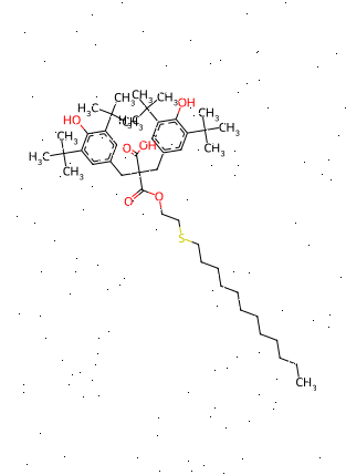 CCCCCCCCCCCCSCCOC(=O)C(Cc1cc(C(C)(C)C)c(O)c(C(C)(C)C)c1)(Cc1cc(C(C)(C)C)c(O)c(C(C)(C)C)c1)C(=O)O